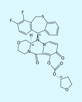 O=C(Oc1c2n(ccc1=O)N([C@@H]1c3ccccc3SCc3c1ccc(F)c3F)[C@@H]1COCCN1C2=O)O[C@@H]1CCOC1